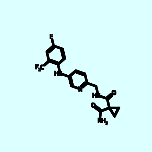 NC(=O)C1(C(=O)NCc2ccc(Nc3ccc(F)cc3C(F)(F)F)cn2)CC1